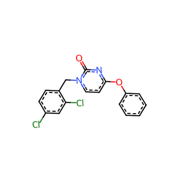 O=c1nc(Oc2ccccc2)ccn1Cc1ccc(Cl)cc1Cl